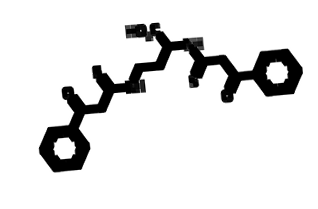 O=C(CC(=S)NCCC(NC(=S)CC(=O)c1ccccc1)C(=O)O)c1ccccc1